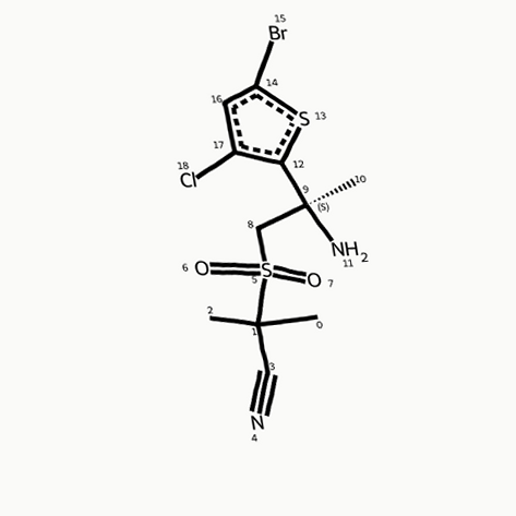 CC(C)(C#N)S(=O)(=O)C[C@](C)(N)c1sc(Br)cc1Cl